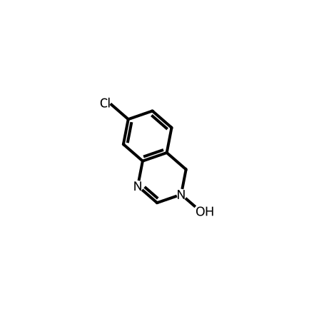 ON1C=Nc2cc(Cl)ccc2C1